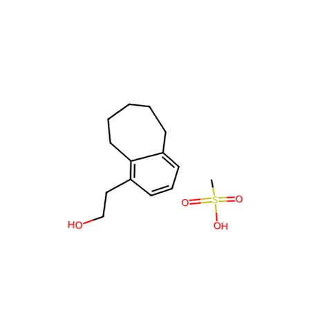 CS(=O)(=O)O.OCCc1cccc2c1CCCCC2